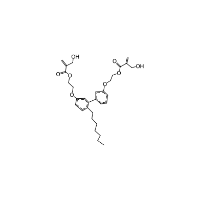 C=C(CO)C(=O)OCCOc1cccc(-c2cc(OCCOC(=O)C(=C)CO)ccc2CCCCCCC)c1